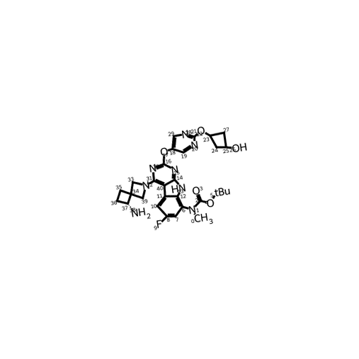 CN(C(=O)OC(C)(C)C)c1cc(F)cc2c1[nH]c1nc(Oc3cnc(OC4CC(O)C4)nc3)nc(N3CC4(CC[C@H]4N)C3)c12